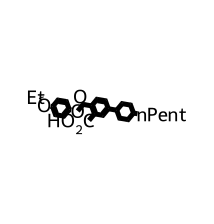 CCCCCC1CCC(c2ccc(C(=O)Oc3ccc(OCC)cc3)c(C(=O)O)c2)CC1